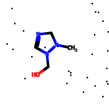 CN1CN=CN1CO